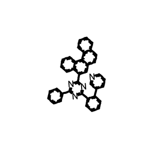 c1ccc(-c2nc(-c3ccccc3-c3cccnc3)nc(-c3cc4ccc5ccccc5c4c4ccccc34)n2)cc1